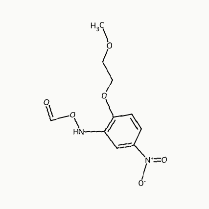 COCCOc1ccc([N+](=O)[O-])cc1NOC=O